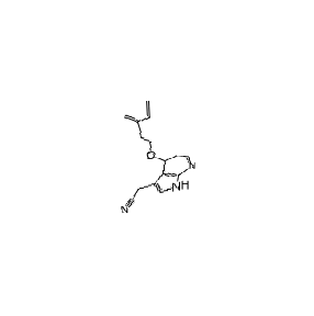 C=CC(=C)CCOC1CC=Nc2[nH]cc(CC#N)c21